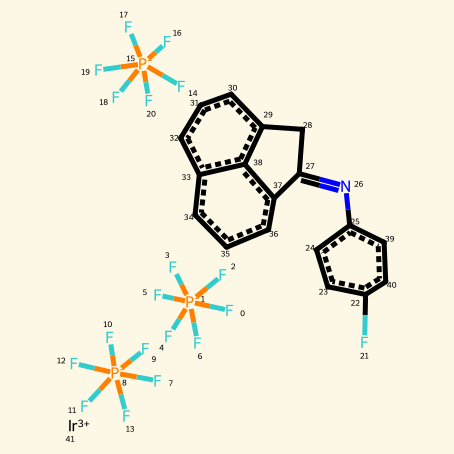 F[P-](F)(F)(F)(F)F.F[P-](F)(F)(F)(F)F.F[P-](F)(F)(F)(F)F.Fc1ccc(N=C2Cc3cccc4cccc2c34)cc1.[Ir+3]